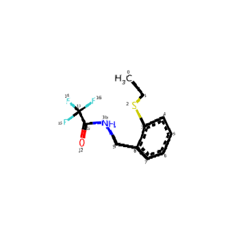 CCSc1ccccc1CNC(=O)C(F)(F)F